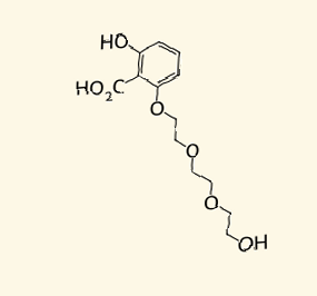 O=C(O)c1c(O)cccc1OCCOCCOCCO